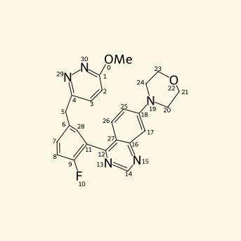 COc1ccc(Cc2ccc(F)c(-c3ncnc4cc(N5CCOCC5)ccc34)c2)nn1